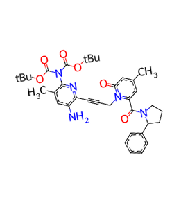 Cc1cc(C(=O)N2CCCC2c2ccccc2)n(CC#Cc2nc(N(C(=O)OC(C)(C)C)C(=O)OC(C)(C)C)c(C)cc2N)c(=O)c1